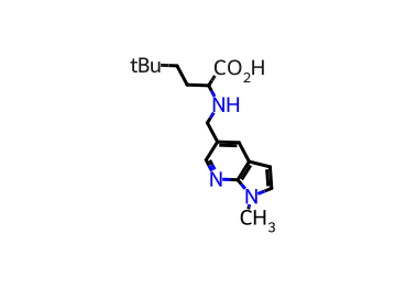 Cn1ccc2cc(CNC(CCC(C)(C)C)C(=O)O)cnc21